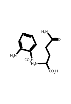 NC(=O)CCC(N)C(=O)O.Nc1ccccc1C(=O)O